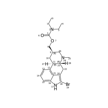 CCN(CC)C(=O)OC[C@@H]1C[C@@H]2c3cccc4[nH]c(Br)c(c34)C[C@H]2N(C)C1